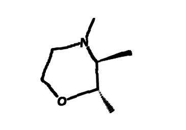 C[C@@H]1OCCN(C)[C@H]1C